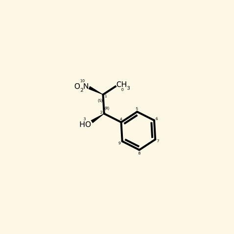 C[C@@H]([C@H](O)c1ccccc1)[N+](=O)[O-]